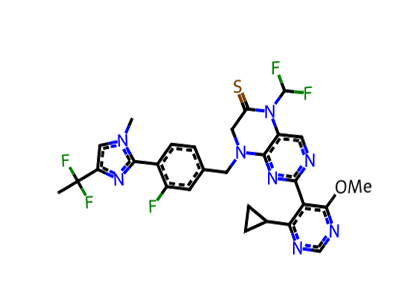 COc1ncnc(C2CC2)c1-c1ncc2c(n1)N(Cc1ccc(-c3nc(C(C)(F)F)cn3C)c(F)c1)CC(=S)N2C(F)F